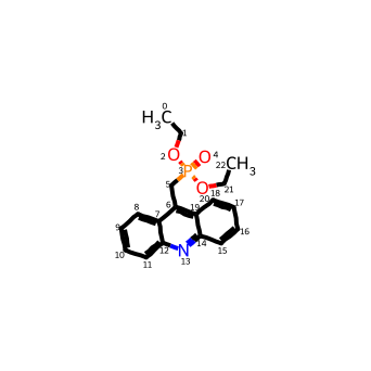 CCOP(=O)(Cc1c2ccccc2nc2ccccc12)OCC